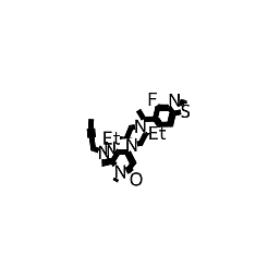 CC#CCn1cc2c(n1)c(N1C[C@@H](CC)N(C(C)c3ccc4scnc4c3F)C[C@@H]1CC)cc(=O)n2C